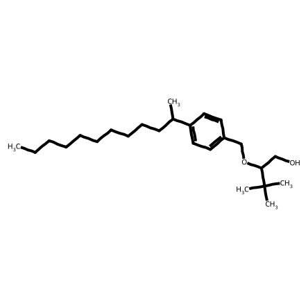 CCCCCCCCCCC(C)c1ccc(COC(CO)C(C)(C)C)cc1